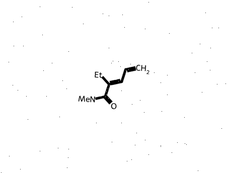 C=C/C=C(\CC)C(=O)NC